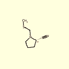 CSCN1CCC[C@H]1C#N